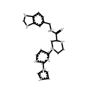 O=C(NCc1ccc2c(c1)OCO2)C1CN(c2ccnc(-n3ccnc3)n2)CCO1